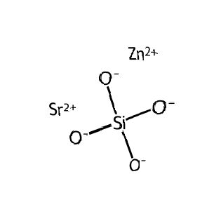 [O-][Si]([O-])([O-])[O-].[Sr+2].[Zn+2]